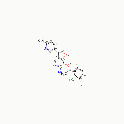 C[C@@H](Oc1c(N)ncc2c(-c3ccc([N+](=O)[O-])nc3)coc12)c1c(Cl)ccc(F)c1Cl